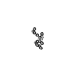 c1ccc2c(c1)oc1ccc(-c3ccc(-c4nc(-n5c6ccc7oc8ccc9c%10ccccc%10n%10c%11cccc5c%11c6c7c8c9%10)nc5sc6ccccc6c45)cc3)cc12